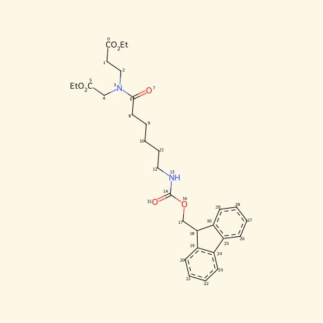 CCOC(=O)CCN(CC(=O)OCC)C(=O)CCCCCNC(=O)OCC1c2ccccc2-c2ccccc21